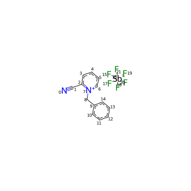 N#Cc1cccc[n+]1Cc1ccccc1.[F][Sb-]([F])([F])([F])([F])[F]